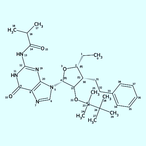 CC[C@H]1O[C@@H](n2cnc3c(=O)[nH]c(NC(=O)C(C)C)nc32)C(O[Si](C)(C)C(C)(C)C)[C@H]1CCc1ccccc1